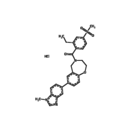 CCc1cc(S(C)(=O)=O)ccc1C(=O)N1CCOc2ccc(-c3ccc4c(c3)ncn4C)cc2C1.Cl